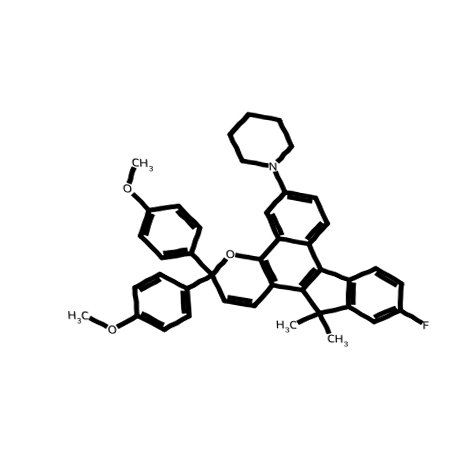 COc1ccc(C2(c3ccc(OC)cc3)C=Cc3c4c(c5ccc(N6CCCCC6)cc5c3O2)-c2ccc(F)cc2C4(C)C)cc1